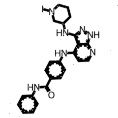 O=C(Nc1ccccc1)c1ccc(Nc2ccnc3[nH]nc(NC4CCCN(I)C4)c23)cc1